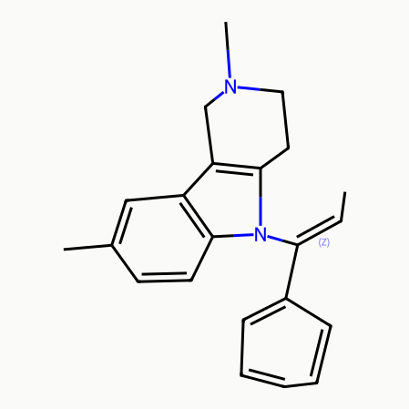 C/C=C(/c1ccccc1)n1c2c(c3cc(C)ccc31)CN(C)CC2